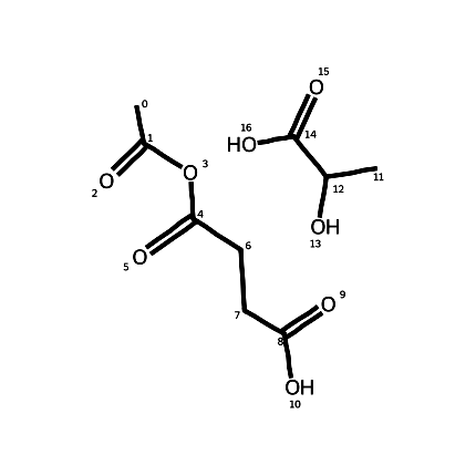 CC(=O)OC(=O)CCC(=O)O.CC(O)C(=O)O